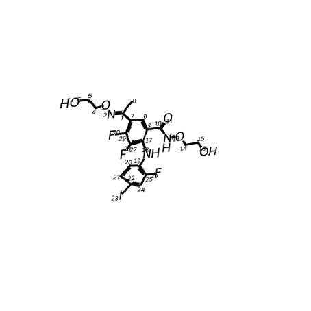 C/C(=N\OCCO)c1cc(C(=O)NOCCO)c(Nc2ccc(I)cc2F)c(F)c1F